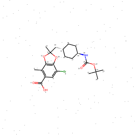 Cc1c(C(=O)O)cc(Br)c2c1OC(C)(C[C@H]1CC[C@H](NC(=O)OC(C)(C)C)CC1)O2